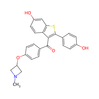 CN1CC(Oc2ccc(C(=O)c3c(-c4ccc(O)cc4)sc4cc(O)ccc34)cc2)C1